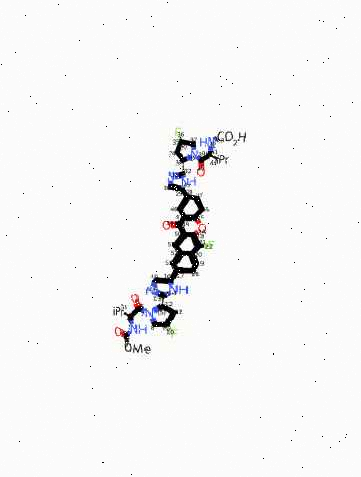 COC(=O)N[C@H](C(=O)N1C[C@H](F)C[C@H]1c1ncc(-c2ccc3c(F)c4oc5ccc(-c6cnc([C@@H]7C[C@@H](F)CN7C(=O)[C@@H](NC(=O)O)C(C)C)[nH]6)cc5c(=O)c4cc3c2)[nH]1)C(C)C